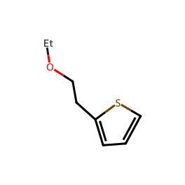 [CH2]COCCc1cccs1